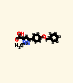 Cn1nc(-c2ccc(OCc3ccccc3)cc2)cc1C(=O)O